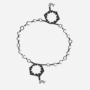 CC(C)c1ccc2c(c1)OCCOCCOCCOc1ccc(C(C)C)cc1OCCOCCOCCO2